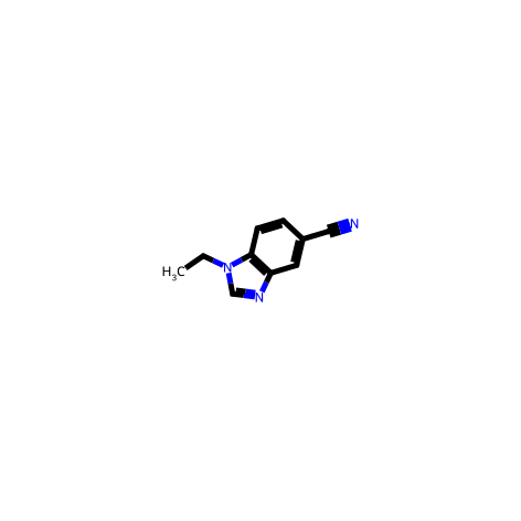 CCn1cnc2cc(C#N)ccc21